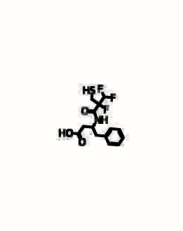 O=C(O)CC(Cc1ccccc1)NC(=O)C(F)(CS)C(F)F